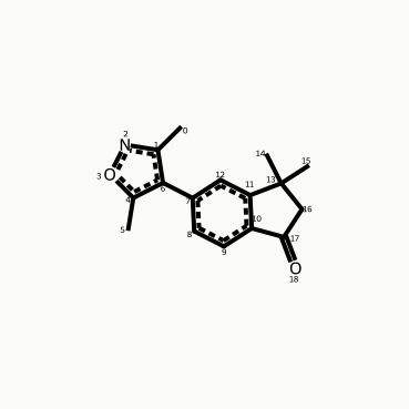 Cc1noc(C)c1-c1ccc2c(c1)C(C)(C)CC2=O